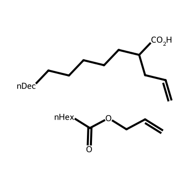 C=CCC(CCCCCCCCCCCCCCC)C(=O)O.C=CCOC(=O)CCCCCC